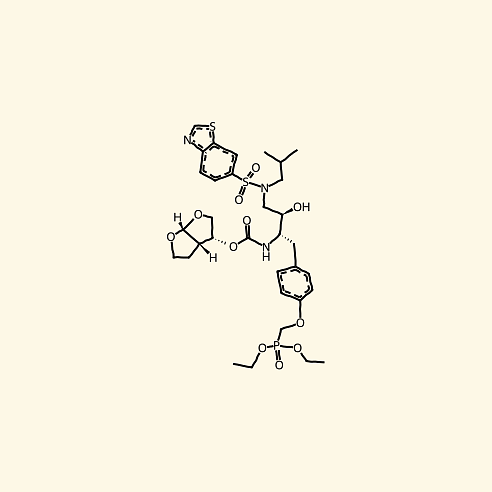 CCOP(=O)(COc1ccc(C[C@H](NC(=O)O[C@H]2CO[C@H]3OCC[C@H]32)[C@H](O)CN(CC(C)C)S(=O)(=O)c2ccc3ncsc3c2)cc1)OCC